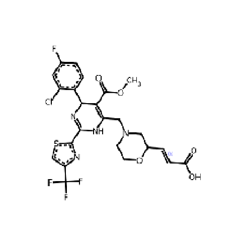 COC(=O)C1=C(CN2CCOC(/C=C/C(=O)O)C2)NC(c2nc(C(F)(F)F)cs2)=NC1c1ccc(F)cc1Cl